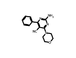 N#Cc1c(-c2ccccc2)nc(N)nc1N1CCOCC1